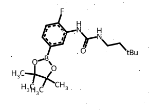 CC(C)(C)CCNC(=O)Nc1cc(B2OC(C)(C)C(C)(C)O2)ccc1F